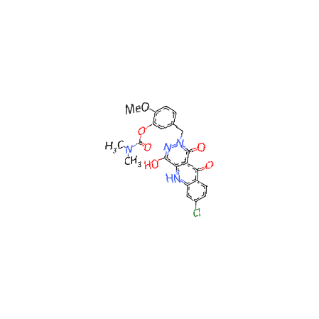 COc1ccc(Cn2nc(O)c3[nH]c4cc(Cl)ccc4c(=O)c3c2=O)cc1OC(=O)N(C)C